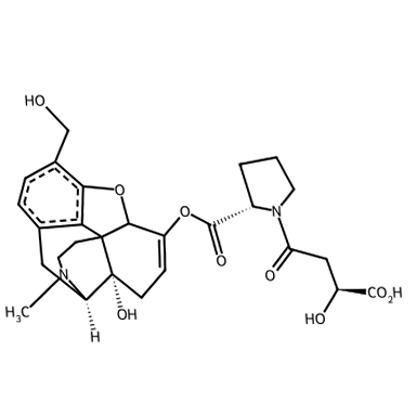 CN1CCC23c4c5ccc(CO)c4OC2C(OC(=O)[C@@H]2CCCN2C(=O)C[C@H](O)C(=O)O)=CC[C@@]3(O)[C@H]1C5